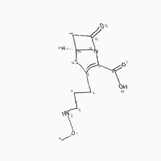 CONCCCC1=C(C(=O)O)N2C(=O)C[C@@H]2S1